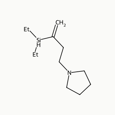 C=C(CCN1CCCC1)[SiH](CC)CC